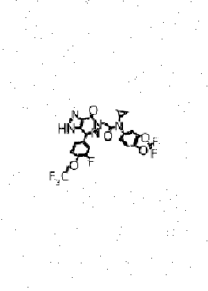 O=C(Cn1nc(-c2ccc(OCC(F)(F)F)c(F)c2)c2[nH]cnc2c1=O)N(c1ccc2c(c1)OC(F)(F)O2)C1CC1